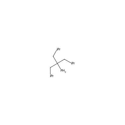 CC(C)CC(P)(CC(C)C)CC(C)C